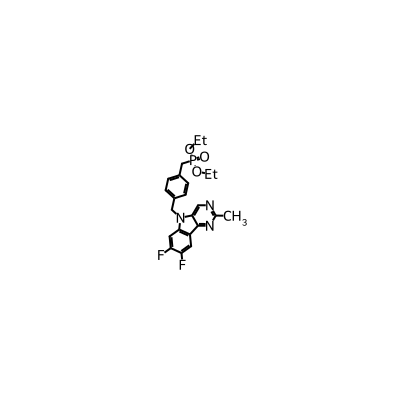 CCOP(=O)(Cc1ccc(Cn2c3cc(F)c(F)cc3c3nc(C)ncc32)cc1)OCC